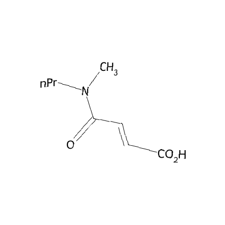 CCCN(C)C(=O)/C=C/C(=O)O